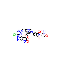 CNC(=O)[C@H](C)Oc1cc2cc(Nc3nc(N4CCC(CN5CCN(c6ccc7c(c6)C(=O)N([C@H]6CCC(=O)NC6=O)C7=O)CC5)CC4)ncc3Cl)ccc2n(C)c1=O